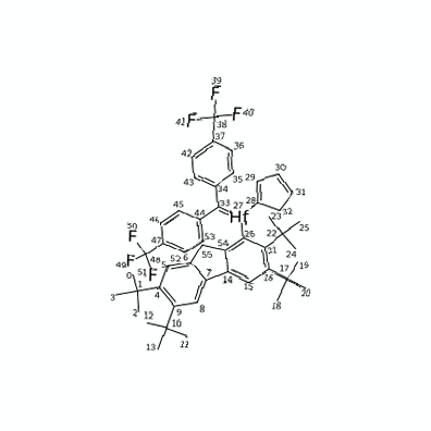 CC(C)(C)c1cc2c(cc1C(C)(C)C)-c1cc(C(C)(C)C)c(C(C)(C)C)[c]([Hf]([C]3=CC=CC3)=[C](c3ccc(C(F)(F)F)cc3)c3ccc(C(F)(F)F)cc3)c1C2